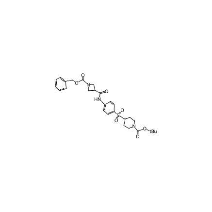 CC(C)(C)OC(=O)N1CCC(S(=O)(=O)c2ccc(NC(=O)C3CN(C(=O)OCc4ccccc4)C3)cc2)CC1